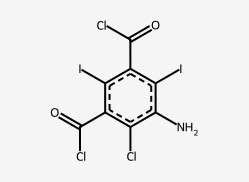 Nc1c(Cl)c(C(=O)Cl)c(I)c(C(=O)Cl)c1I